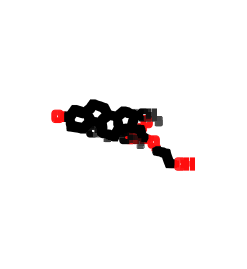 C[C@@H]1CC2C3CCC4=CC(=O)C=C[C@]4(C)C3=CC[C@]2(C)[C@@]1(O)C(=O)COCCCO